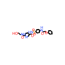 O=C(COc1ccccc1)Nc1ccc(S(=O)(=O)NC(=O)c2ccc(C(=O)NCCO)nc2)cc1